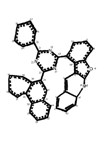 C1=CC2=Cc3c(oc4cccc(-c5nc(-c6ccccc6)nc(-c6cc7ccccc7c7ccccc67)n5)c34)NC2C=C1